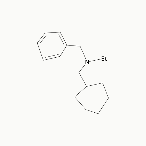 CCN(Cc1ccccc1)CC1CCCCC1